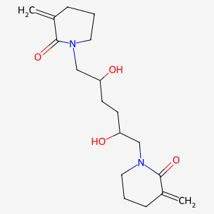 C=C1CCCN(CC(O)CCC(O)CN2CCCC(=C)C2=O)C1=O